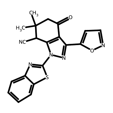 CC1(C)CC(=O)c2c(-c3ccno3)nn(-c3nc4ccccc4s3)c2C1C#N